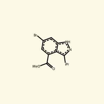 COC(=O)c1cc(Br)cc2[nH]nc(C(C)C)c12